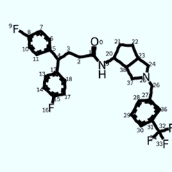 O=C(CCC(c1ccc(F)cc1)c1ccc(F)cc1)NC1CCC2CN(Cc3cccc(C(F)(F)F)c3)CC21